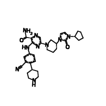 N#Cc1cc(Nc2nc(N3CCCC(n4ccn(C5CCCC5)c4=O)C3)cnc2C(N)=O)ccc1C1CCNCC1